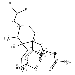 CCCC1(O)C(C)N(CC(F)F)CCC1(CC(=O)NC(N)=O)c1cc(O)ccc1C